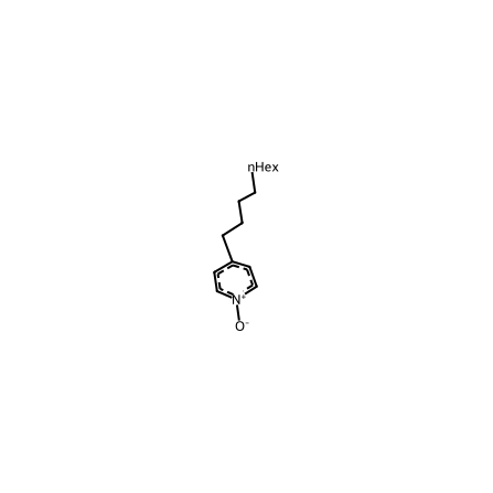 CCCCCCCCCCc1cc[n+]([O-])cc1